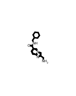 NCc1cn2cc(C(=O)NCC3CCCCC3)ccc2n1